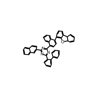 C1=CC2Oc3c(-c4ccc(-c5nc(-c6ccc7ccccc7c6)nc(-c6ccccc6-c6ccccc6)n5)c5ccccc45)cccc3C2C=C1